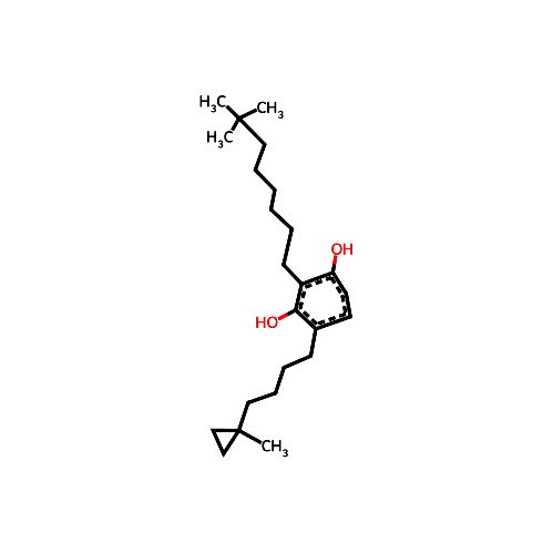 CC(C)(C)CCCCCCc1c(O)ccc(CCCCC2(C)CC2)c1O